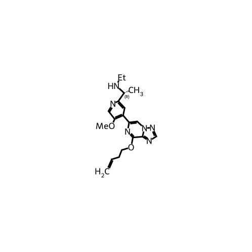 C=CCCOc1nc(-c2cc([C@@H](C)NCC)ncc2OC)cn2ncnc12